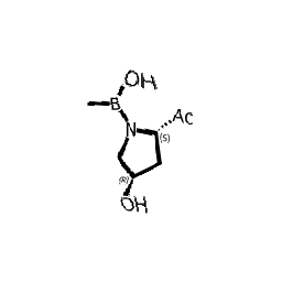 CB(O)N1C[C@H](O)C[C@H]1C(C)=O